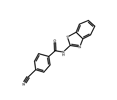 N#Cc1ccc(C(=O)Nc2nc3ccccc3s2)cc1